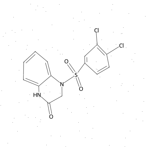 O=C1CN(S(=O)(=O)c2ccc(Cl)c(Cl)c2)c2ccccc2N1